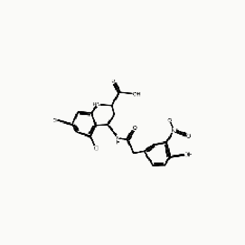 O=C(Cc1ccc(O)c([N+](=O)[O-])c1)NC1CC(C(=O)O)Nc2cc(Cl)cc(Cl)c21